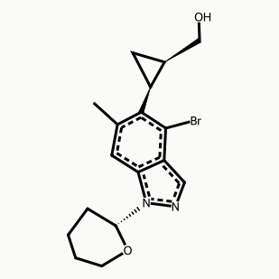 Cc1cc2c(cnn2[C@H]2CCCCO2)c(Br)c1[C@H]1C[C@H]1CO